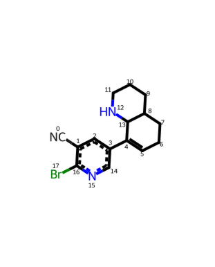 N#Cc1cc(C2=CCCC3CCCNC23)cnc1Br